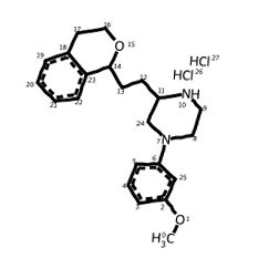 COc1cccc(N2CCNC(CCC3OCCc4ccccc43)C2)c1.Cl.Cl